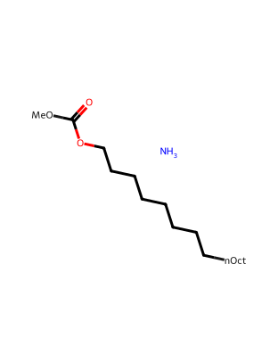 CCCCCCCCCCCCCCCCOC(=O)OC.N